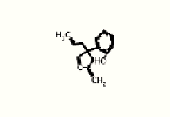 C=CCC(C=C)(CC=C)c1ccccc1O